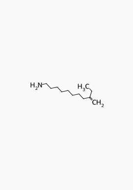 C=C(CC)CCCCCCCCN